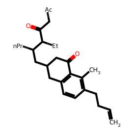 C=CCCc1ccc2c(c1C)C(=O)CC(CC(CCC)C(CC)C(=O)CC(C)=O)C2